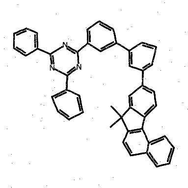 CC1(C)c2cc(-c3cccc(-c4cccc(-c5nc(-c6ccccc6)nc(-c6ccccc6)n5)c4)c3)ccc2-c2c1ccc1ccccc21